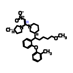 COCCCCC(c1ccccc1Oc1ccccc1C)[C@@H]1CCCN(/C(=C/[N+](=O)[O-])N2CC[C@H](Cl)C2)C1